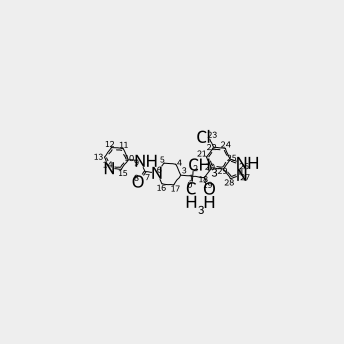 CC(C)(C1CCN(C(=O)Nc2cccnc2)CC1)C(O)c1cc(Cl)cc2[nH]ncc12